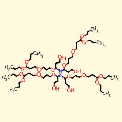 CCCOC(CCOCCCOC(CCO)N(C(CCO)OCCCOCCC(OCCC)OCCC)N(C(CCO)OCCCOCCC(OCCC)OCCC)C(CCO)OCCCOCCC(OCCC)OCCC)OCCC